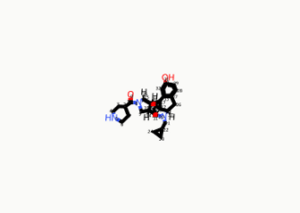 O=C(C1CCNCC1)N1C[C@H]2C[C@@]34CC[C@@H]1[C@@H]2[C@@]31CCN(CC2CC2)[C@@H]4Cc2ccc(O)cc21